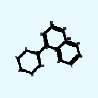 c1ccc2c(C3CCCCC3)cncc2c1